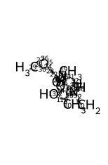 C=CCN1CC[C@]23c4c5c(C)cc(O)c4O[C@H]2[C@H](N(C)C(=O)C#Cc2cccc(C)c2)CC[C@H]3[C@H]1C5